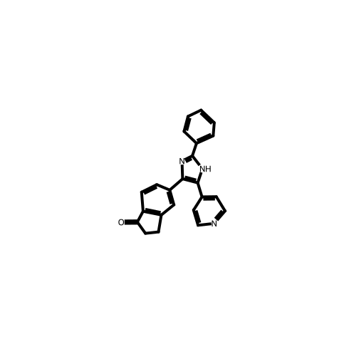 O=C1CCc2cc(-c3nc(-c4ccccc4)[nH]c3-c3ccncc3)ccc21